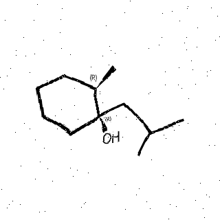 CC(C)C[C@]1(O)CCCC[C@H]1C